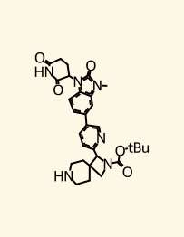 Cn1c(=O)n(C2CCC(=O)NC2=O)c2ccc(-c3ccc(C4N(C(=O)OC(C)(C)C)CC45CCNCC5)nc3)cc21